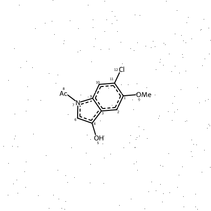 COc1cc2c(O)cn(C(C)=O)c2cc1Cl